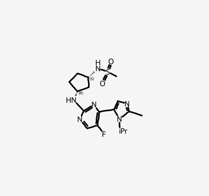 Cc1ncc(-c2nc(N[C@@H]3CC[C@H](NS(C)(=O)=O)C3)ncc2F)n1C(C)C